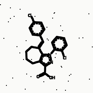 O=C(O)c1nn(-c2ccccc2Cl)c2c1CCCC/C2=C\c1ccc(Cl)cc1